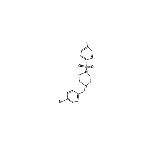 Cc1ccc(S(=O)(=O)N2CCN(Cc3ccc(Br)cc3)CC2)cc1